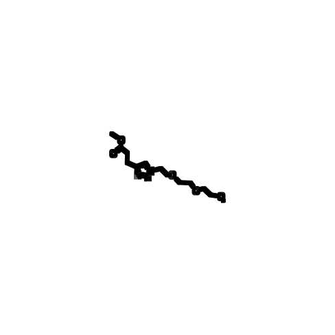 COCCOCCOCCn1cc(CCC(=O)OC)nn1